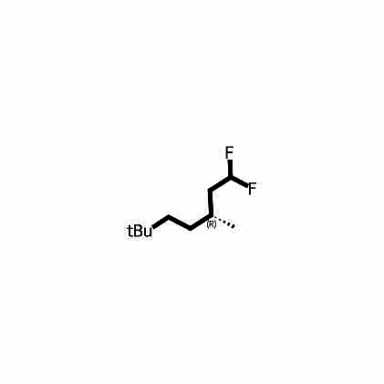 C[C@H](CCC(C)(C)C)CC(F)F